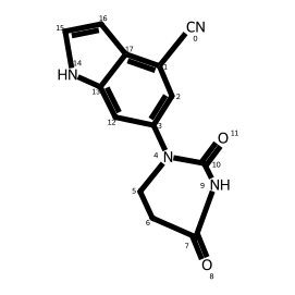 N#Cc1cc(N2CCC(=O)NC2=O)cc2[nH]ccc12